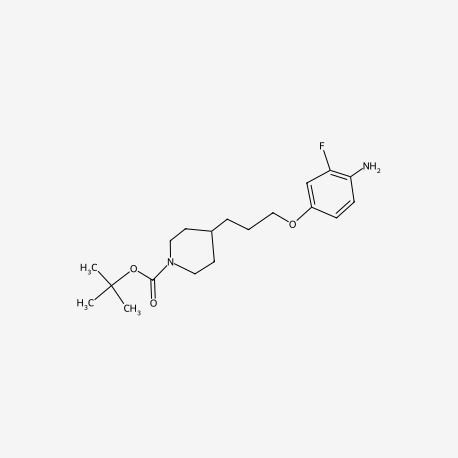 CC(C)(C)OC(=O)N1CCC(CCCOc2ccc(N)c(F)c2)CC1